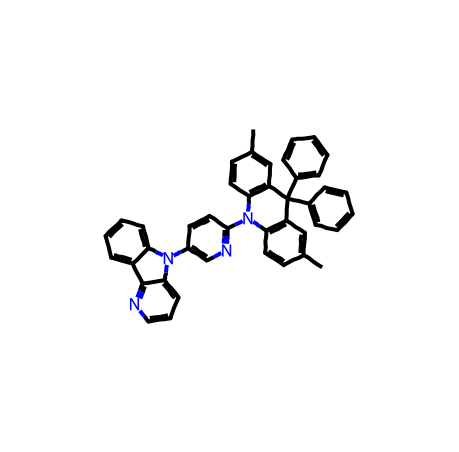 Cc1ccc2c(c1)C(c1ccccc1)(c1ccccc1)c1cc(C)ccc1N2c1ccc(-n2c3ccccc3c3ncccc32)cn1